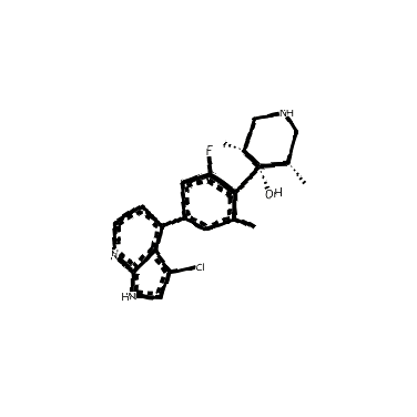 Cc1cc(-c2ccnc3[nH]cc(Cl)c23)cc(F)c1[C@@]1(O)[C@H](C)CNC[C@@H]1C